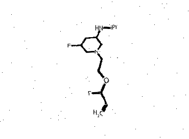 C=CC(F)OCCN1CC(F)CC(NC(C)C)C1